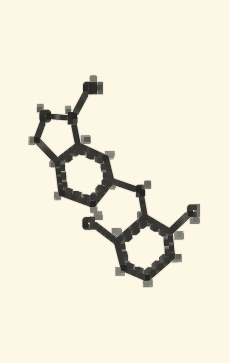 OB1OCc2ccc(Sc3c(Cl)cccc3Cl)cc21